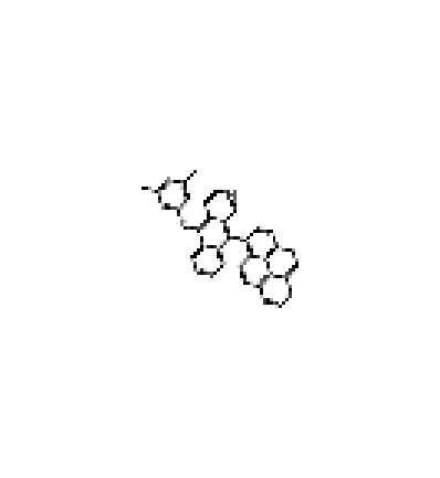 Cc1cc(C)cc(Sc2c3ccccc3c(-c3ccc4c5c6c(ccc35)C=CCC6=CC4)c3cnccc23)c1